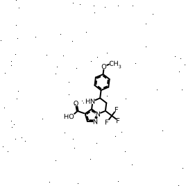 COc1ccc(C2CC(C(F)(F)F)n3ncc(C(=O)O)c3N2)cc1